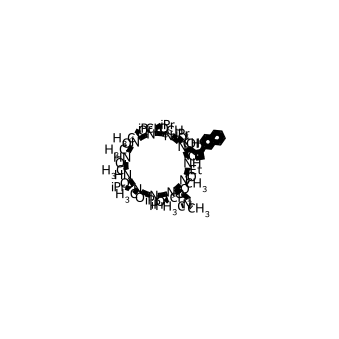 CC[C@@H]1NC(=O)C([C@H](O)[C@@H]2CC=C2c2ccc3ccccc3c2)N(C)C(=O)C(C(C)C)N(C)C(=O)[C@H](CC(C)C)N(C)C(=O)[C@H](CC(C)C)N(C)C(=O)[C@@H](C)NC(=O)[C@H](C)NC(=O)[C@H](CC(C)C)N(C)C(=O)C(C(C)C)NC(=O)[C@H](CC(C)C)N(C)C(=O)C(OCCN(C)C)N(C)C1=O